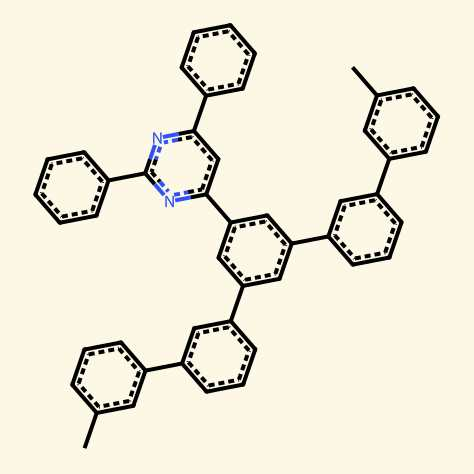 Cc1cccc(-c2cccc(-c3cc(-c4cccc(-c5cccc(C)c5)c4)cc(-c4cc(-c5ccccc5)nc(-c5ccccc5)n4)c3)c2)c1